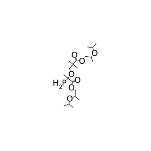 CC(C)OC(C)COC(=O)C(C)(C)COC(C)(P)C(=O)OCC(C)OC(C)C